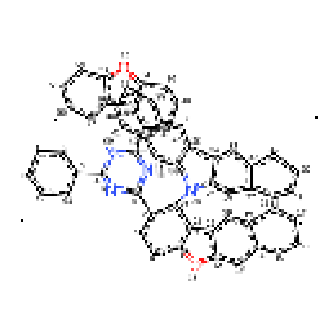 c1ccc(-c2nc(-c3ccc4oc5cc6ccccc6cc5c4c3-n3c4cc5ccccc5cc4c4cc5ccccc5cc43)nc(-c3cccc4oc5ccccc5c34)n2)cc1